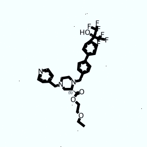 CCOCCOC(=O)[C@@H]1CN(Cc2ccncc2)CCN1Cc1ccc(-c2ccc(C(O)(C(F)(F)F)C(F)(F)F)cc2)cc1